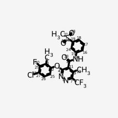 Cc1c(Oc2nnc(C(F)(F)F)c(C)c2C(=O)Nc2cccc(S(C)(=O)=O)c2)ccc(Cl)c1F